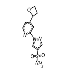 NS(=O)(=O)c1cnn(-c2cc(C3CCO3)ccn2)c1